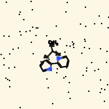 CC(=O)C(C(C)=O)C(C)=O.[CaH2].c1ccc(-c2ccccn2)nc1